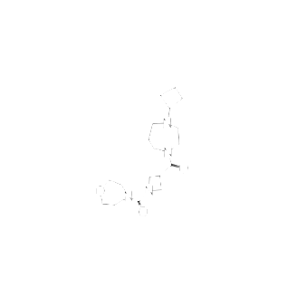 O=C(C1CN(C(=O)N2CCOCC2)C1)N1CCCN(C2CCC2)CC1